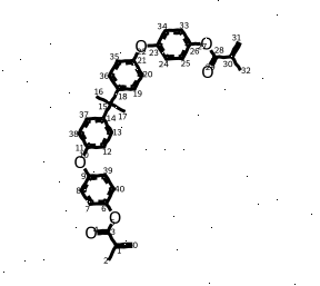 C=C(C)C(=O)Oc1ccc(Oc2ccc(C(C)(C)c3ccc(Oc4ccc(OC(=O)C(=C)C)cc4)cc3)cc2)cc1